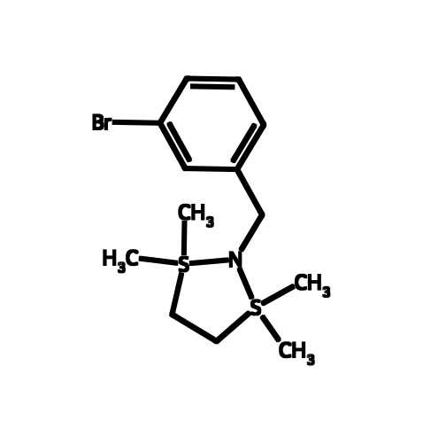 CS1(C)CCS(C)(C)N1Cc1cccc(Br)c1